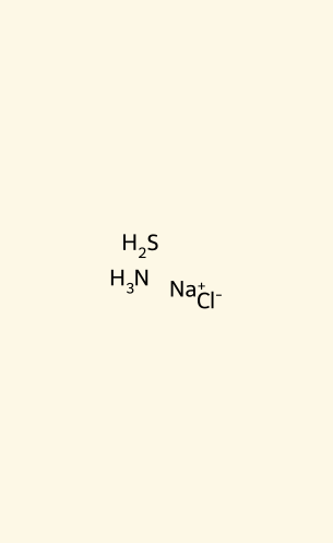 N.S.[Cl-].[Na+]